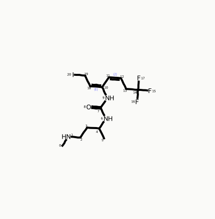 CNCCC(C)NC(=O)NC(/C=C\CC(F)(F)F)=C/CI